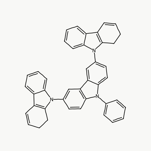 C1=Cc2c(n(-c3ccc4c(c3)c3cc(-n5c6c(c7ccccc75)C=CCC6)ccc3n4-c3ccccc3)c3ccccc23)CC1